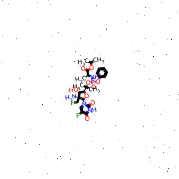 CC(C)OC(=O)[C@H](C)N[P@](=O)(Oc1ccccc1)OC(C)(C)[C@H]1O[C@@H](n2cc(F)c(=O)[nH]c2=O)[C@@](N)(CF)C1O